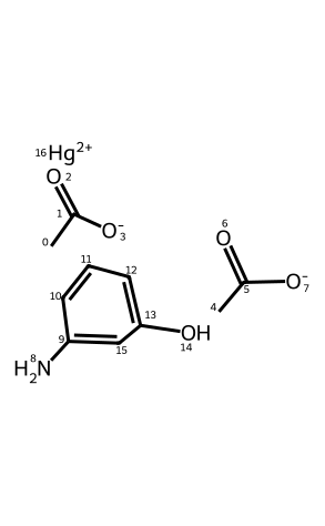 CC(=O)[O-].CC(=O)[O-].Nc1cccc(O)c1.[Hg+2]